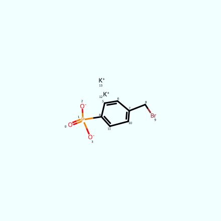 O=P([O-])([O-])c1ccc(CBr)cc1.[K+].[K+]